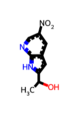 CC(O)c1cc2cc([N+](=O)[O-])cnc2[nH]1